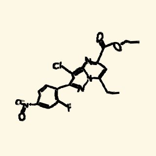 CCOC(=O)c1cc(CC)n2nc(-c3ccc([N+](=O)[O-])cc3F)c(Cl)c2n1